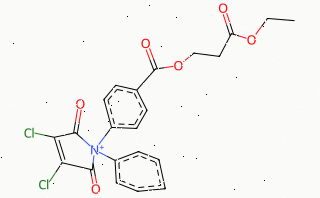 CCOC(=O)CCOC(=O)c1ccc([N+]2(c3ccccc3)C(=O)C(Cl)=C(Cl)C2=O)cc1